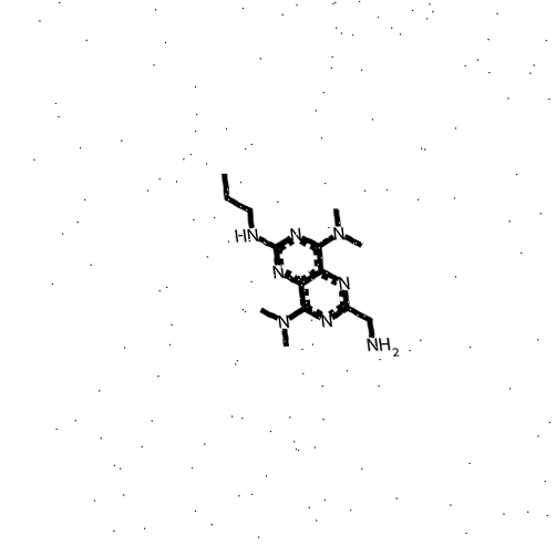 CCCNc1nc(N(C)C)c2nc(CN)nc(N(C)C)c2n1